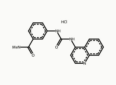 CNC(=O)c1cccc(NC(=O)Nc2ccnc3ccccc23)c1.Cl